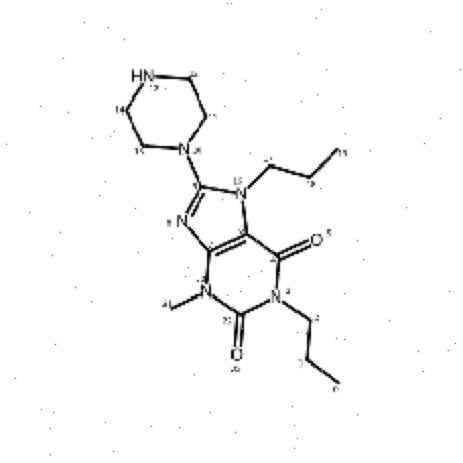 CCCn1c(=O)c2c(nc(N3CCNCC3)n2CCC)n(C)c1=O